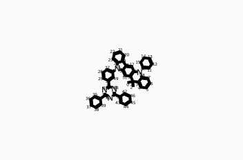 CC1(C)c2ccccc2N(C2=CC=CCC2)c2cc3c4ccccc4n(-c4cccc(-c5nc(-c6ccccc6)nc(-c6ccccc6)n5)c4)c3cc21